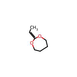 CC=C1OCCCCO1